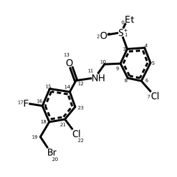 CC[S+]([O-])c1ccc(Cl)cc1CNC(=O)c1cc(F)c(CBr)c(Cl)c1